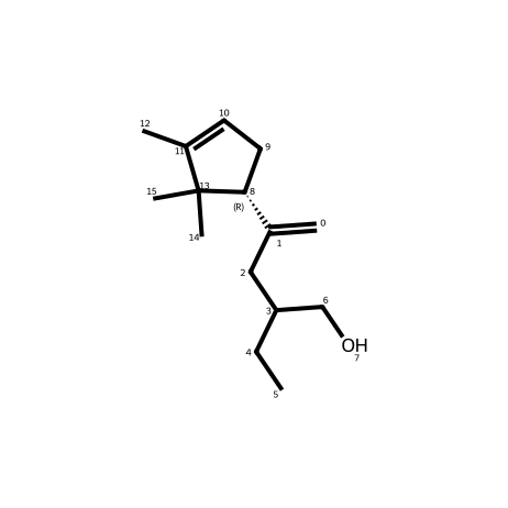 C=C(CC(CC)CO)[C@H]1CC=C(C)C1(C)C